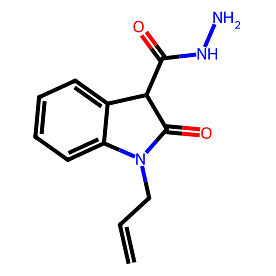 C=CCN1C(=O)C(C(=O)NN)c2ccccc21